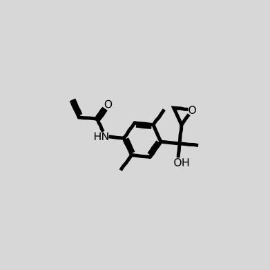 C=CC(=O)Nc1cc(C)c(C(C)(O)C2CO2)cc1C